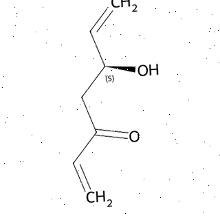 C=CC(=O)C[C@H](O)C=C